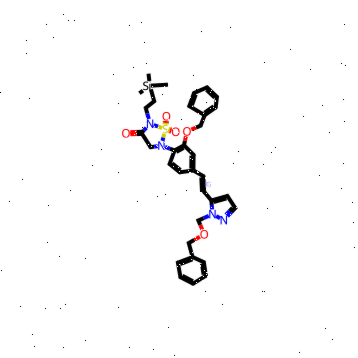 C[Si](C)(C)CCN1C(=O)CN(c2ccc(/C=C/c3ccnn3COCc3ccccc3)cc2OCc2ccccc2)S1(=O)=O